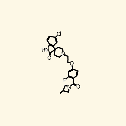 CC1CN(C(=O)c2ccc(OCCN3CCC4(CC3)C(=O)Nc3ccc(Cl)cc34)cc2F)C1